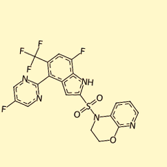 O=S(=O)(c1cc2c(-c3ncc(F)cn3)c(C(F)(F)F)cc(F)c2[nH]1)N1CCOc2ncccc21